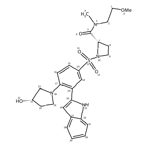 COCCN(C)C(=O)[C@@H]1CCN1S(=O)(=O)c1ccc(N2CC[C@H](O)C2)c(-c2cc3ccccc3[nH]2)c1